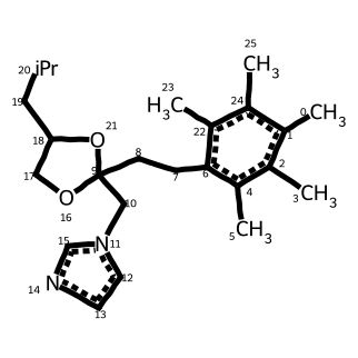 Cc1c(C)c(C)c(CCC2(Cn3ccnc3)OCC(CC(C)C)O2)c(C)c1C